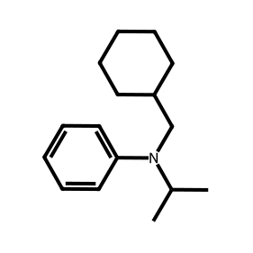 CC(C)N(CC1CCCCC1)c1ccccc1